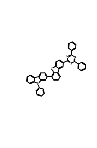 c1ccc(-c2nc(-c3ccccc3)nc(-c3ccc4oc5c(-c6ccc7c8ccccc8n(-c8ccccc8)c7c6)cccc5c4c3)n2)cc1